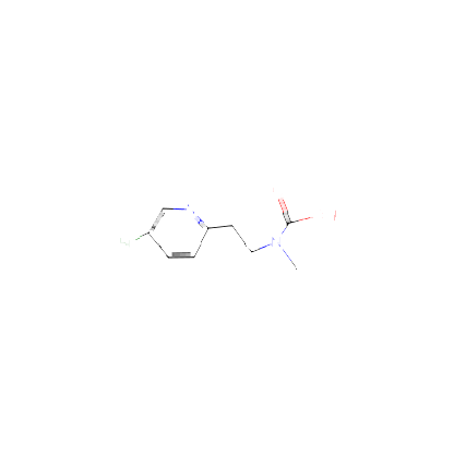 CN(CCc1ccc(Br)cn1)C(=O)O